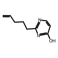 C=CCCCc1nccc(O)n1